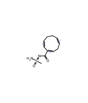 CS(N)(=O)=NC(=O)C1=C/C/C=C\CC/C=C\1